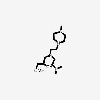 COCC(O)CN(CCN(C)C)CCN1CCN(C)CC1